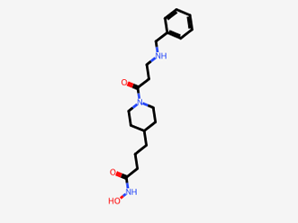 O=C(CCCC1CCN(C(=O)CCNCc2ccccc2)CC1)NO